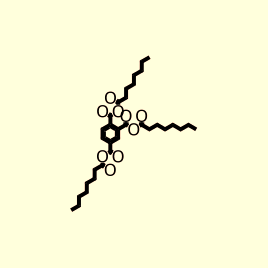 CCCCCCCC(=O)OC(=O)c1ccc(C(=O)OC(=O)CCCCCCC)c(C(=O)OC(=O)CCCCCCC)c1